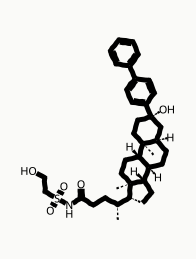 C[C@H](CCC(=O)NS(=O)(=O)CCO)[C@H]1CC[C@H]2[C@@H]3CC[C@@H]4C[C@](O)(c5ccc(-c6ccccc6)cc5)CC[C@]4(C)[C@H]3CC[C@]12C